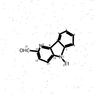 CCn1c2ccccc2c2nc(C=O)ccc21